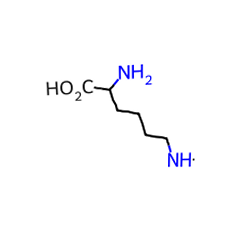 [NH]CCCCC(N)C(=O)O